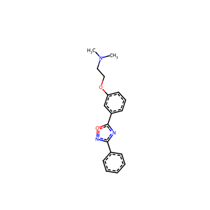 CN(C)CCOc1cccc(-c2nc(-c3ccccc3)no2)c1